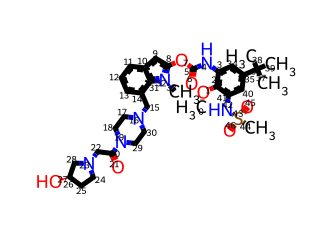 COc1c(NC(=O)Oc2cc3cccc(CN4CCN(C(=O)CN5CC[C@H](O)C5)CC4)c3n2C)cc(C(C)(C)C)cc1NS(C)(=O)=O